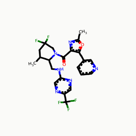 Cc1nc(C(=O)N2CC(F)(F)CC(C)C2CNc2cnc(C(F)(F)F)cn2)c(-c2cccnc2)o1